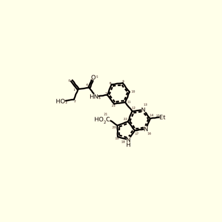 C=C(CO)C(=O)Nc1cccc(-c2nc(CC)nc3[nH]cc(C(=O)O)c23)c1